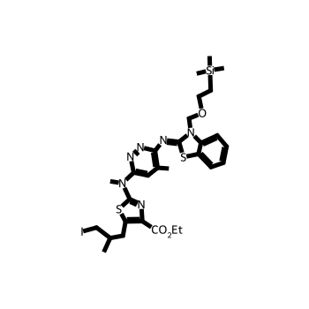 CCOC(=O)c1nc(N(C)c2cc(C)c(/N=c3\sc4ccccc4n3COCC[Si](C)(C)C)nn2)sc1CC(C)CI